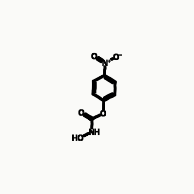 O=C(NO)Oc1ccc([N+](=O)[O-])cc1